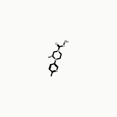 Cc1ccc(N2CCN(C(=O)OC(C)(C)C)C[C@@H]2C)cn1